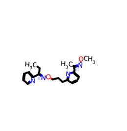 CC/C(=N\OCCCc1cccc(/C(C)=N/OC)n1)c1ccccn1